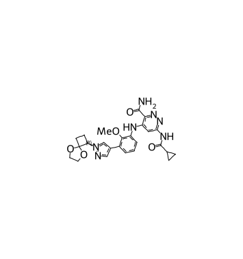 COc1c(Nc2cc(NC(=O)C3CC3)nnc2C(N)=O)cccc1-c1cnn([C@@H]2CCC23OCCO3)c1